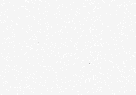 N=C(N)c1ccc(Cl)cc1Cl